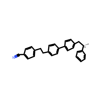 C[C@@H](Cc1ccc(-c2ccc(CCc3ccc(C#N)cc3)cc2)cc1)c1ccccc1